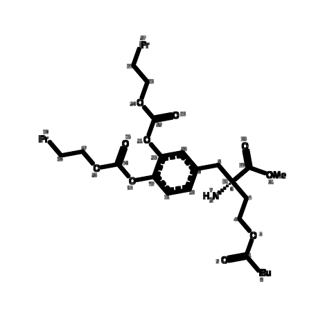 CCC(C)C(=O)OCC[C@@](N)(Cc1ccc(OC(=O)OCCC(C)C)c(OC(=O)OCCC(C)C)c1)C(=O)OC